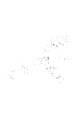 COC(=O)CCC(NC(=O)C(CCCCNC(=O)/C=C/c1cccnc1)NC(=O)Cc1ccc(NC(=O)Nc2ccccc2C)cc1)C(=O)N[C@@H](Cc1ccccc1)C(=O)O